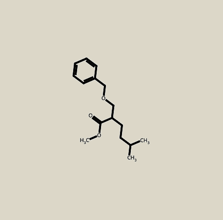 COC(=O)C(CCC(C)C)COCc1ccccc1